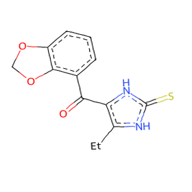 CCc1[nH]c(=S)[nH]c1C(=O)c1cccc2c1OCO2